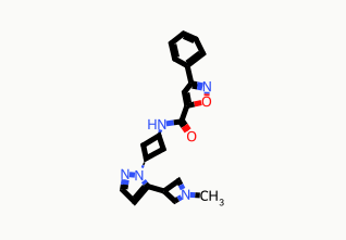 CN1CC(c2ccnn2[C@H]2C[C@H](NC(=O)c3cc(-c4ccccc4)no3)C2)C1